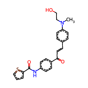 CN(CCO)c1ccc(/C=C/C(=O)c2ccc(NC(=O)c3cccs3)cc2)cc1